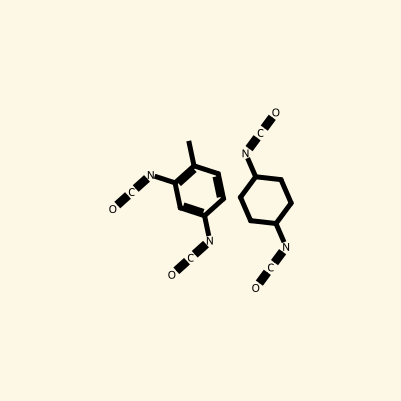 Cc1ccc(N=C=O)cc1N=C=O.O=C=NC1CCC(N=C=O)CC1